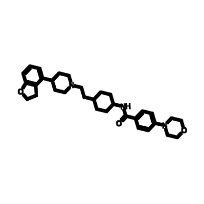 O=C(NC1CCC(CCN2CCC(c3cccc4c3CCO4)CC2)CC1)c1ccc(N2CCOCC2)cc1